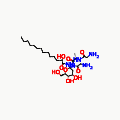 CCCCCCCCCCCCC(O)C(=O)N[C@@]1(N(C(=O)CN)C(=O)[C@H](C)NC(=O)CN)C[C@@H](O)[C@H](O)[C@@H](CO)O1